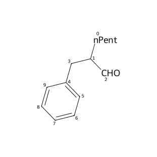 CCCCCC(C=O)Cc1ccccc1